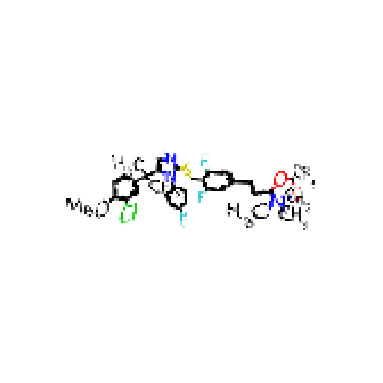 COc1ccc(C(C)(C)c2cnc(SCc3c(F)cc(CCC(OC(=O)C(F)(F)F)[N+](C)(C)C)cc3F)n2-c2ccc(F)cc2)cc1Cl